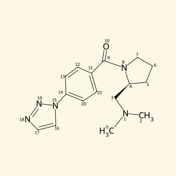 CN(C)C[C@@H]1CCCN1C(=O)c1ccc(-n2ccnn2)cc1